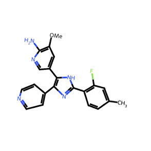 COc1cc(-c2[nH]c(-c3ccc(C)cc3F)nc2-c2ccncc2)cnc1N